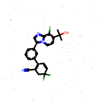 CC(C)(O)c1ccn2c(-c3cccc(C4=C(C#N)CC(F)(F)C=C4)c3)cnc2c1F